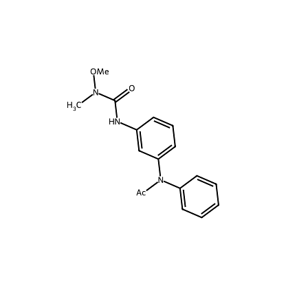 CON(C)C(=O)Nc1cccc(N(C(C)=O)c2ccccc2)c1